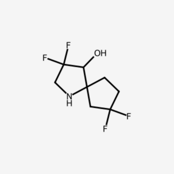 OC1C(F)(F)CNC12CCC(F)(F)C2